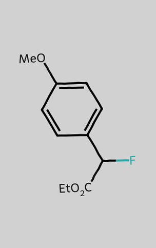 CCOC(=O)C(F)c1ccc(OC)cc1